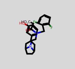 O=C(O)CC(=O)N(CCN1C2CCC1CC(c1cccc(O)c1)C2)Cc1c(F)cccc1F